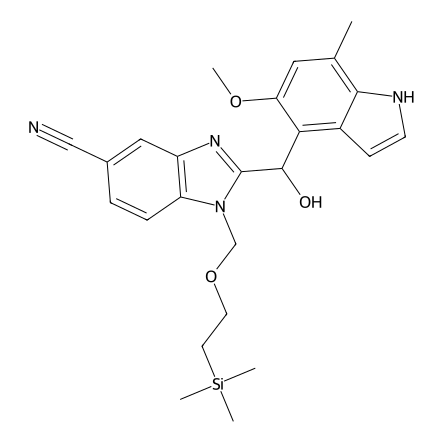 COc1cc(C)c2[nH]ccc2c1C(O)c1nc2cc(C#N)ccc2n1COCC[Si](C)(C)C